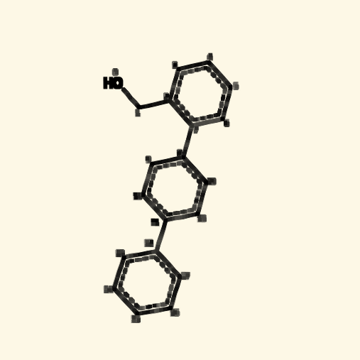 OCc1ccccc1-c1ccc(-c2ccccc2)cc1